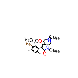 CCOC(=O)OC1=C(c2cc(Br)c(C)cc2C)C(=O)N(OC)C12CCN(OC)CC2